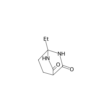 CCC12CCC(C(=O)N1)C(=O)N2